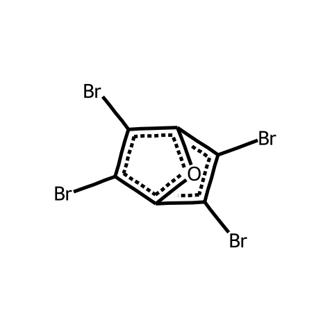 Brc1c(Br)c2oc1c(Br)c2Br